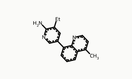 CCc1cc(-c2cccc3c(C)ccnc23)cnc1N